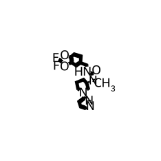 CN(C(=O)NCc1ccc2c(c1)OC(F)(F)O2)[C@@H]1CCCN(c2cccnn2)C1